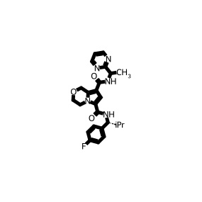 CC(NC(=O)c1cc(C(=O)N[C@@H](c2ccc(F)cc2)C(C)C)n2c1COCC2)c1ncccn1